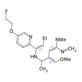 C=N/C(=C\C(=C/OC)C(C)N/C(=C/CC)c1ccc(OCCF)cn1)NC